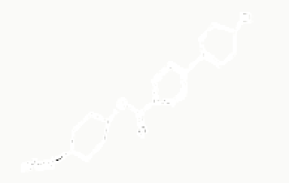 CCCCC[C@H]1CC[C@H](OC(=O)c2ccc(C3=CCC(CC)CC3)cc2)CC1